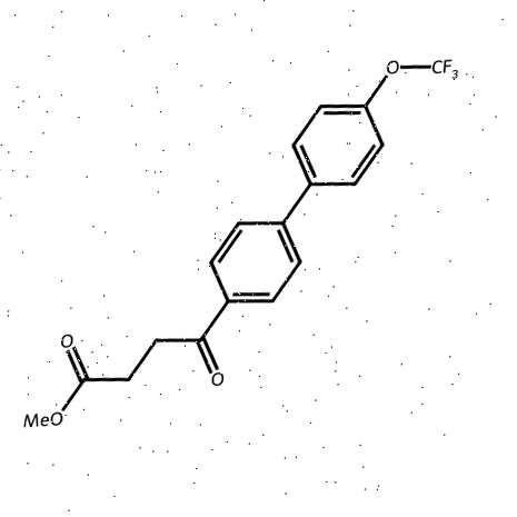 COC(=O)CCC(=O)c1ccc(-c2ccc(OC(F)(F)F)cc2)cc1